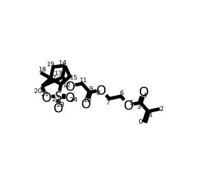 C=C(C)C(=O)OCCOC(=O)COC1C2CC3C(C)(C2)C1OS3(=O)=O